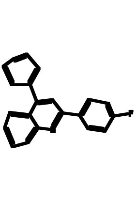 Fc1ccc(-c2cc(-c3ccccc3)c3ccccc3n2)cc1